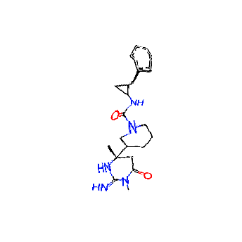 CN1C(=N)N[C@](C)(C2CCCN(C(=O)NC3C[C@H]3c3ccccc3)C2)CC1=O